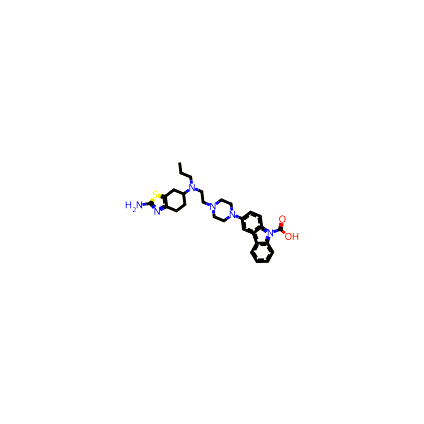 CCCN(CCN1CCN(c2ccc3c(c2)c2ccccc2n3C(=O)O)CC1)C1CCc2nc(N)sc2C1